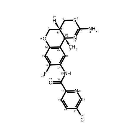 C[C@]12N=C(N)SC[C@H]1COc1cc(F)c(NC(=O)c3ccc(Cl)cn3)cc12